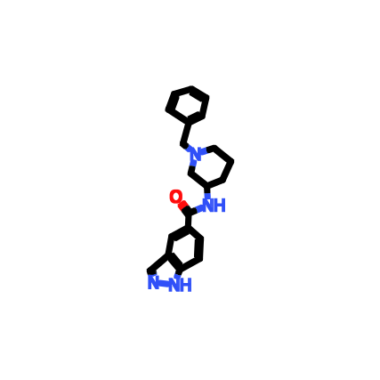 O=C(NC1CCCN(Cc2ccccc2)C1)c1ccc2[nH]ncc2c1